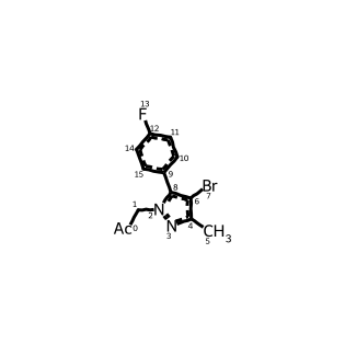 CC(=O)Cn1nc(C)c(Br)c1-c1ccc(F)cc1